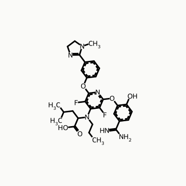 CCCN(c1c(F)c(Oc2cccc(C3=NCCN3C)c2)nc(Oc2cc(C(=N)N)ccc2O)c1F)C(CC(C)C)C(=O)O